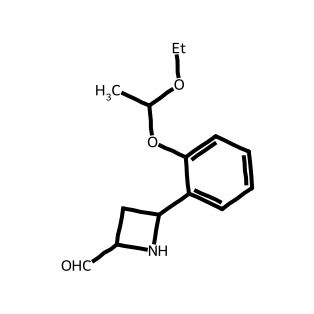 CCOC(C)Oc1ccccc1C1CC(C=O)N1